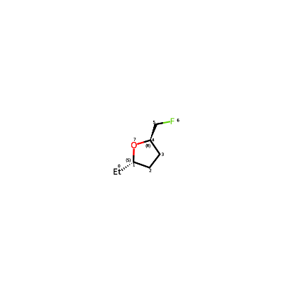 CC[C@H]1CC[C@H](CF)O1